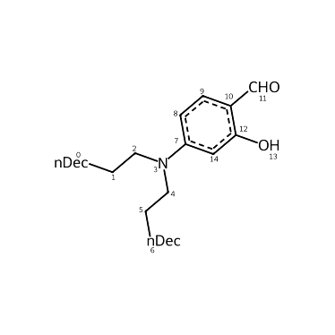 CCCCCCCCCCCCN(CCCCCCCCCCCC)c1ccc(C=O)c(O)c1